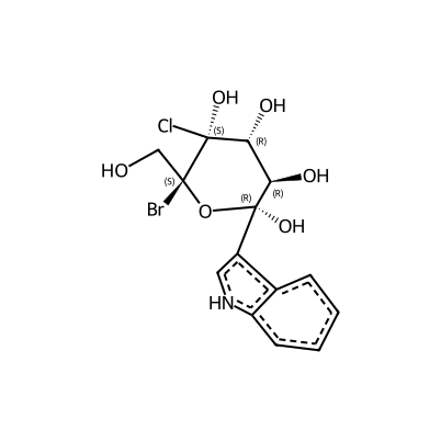 OC[C@@]1(Br)O[C@](O)(c2c[nH]c3ccccc23)[C@H](O)[C@@H](O)[C@]1(O)Cl